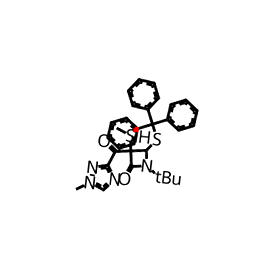 Cn1cnc(C(=O)C2([SiH](C)C)C(=O)N(C(C)(C)C)C2SC(c2ccccc2)(c2ccccc2)c2ccccc2)n1